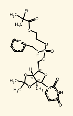 CCC(C)(C)C(=O)SCCOP(=O)(NCc1ccccc1)OC[C@H]1OC(n2ccc(=O)[nH]c2=O)[C@]2(C)OC(C)(C)O[C@H]12